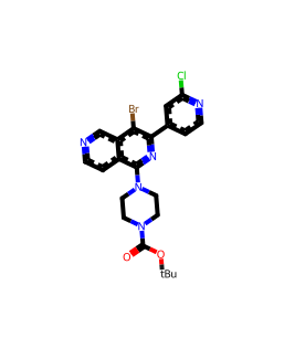 CC(C)(C)OC(=O)N1CCN(c2nc(-c3ccnc(Cl)c3)c(Br)c3cnccc23)CC1